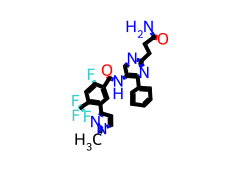 Cn1ccc(-c2cc(C(=O)Nc3cnc(CCC(N)=O)nc3-c3ccccc3)c(F)cc2C(F)(F)F)n1